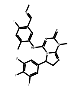 C/N=C/c1cc(NC2=NC(=O)N(C)C3=NCC(c4cc(F)c(F)c(F)c4)N23)c(C)cc1F